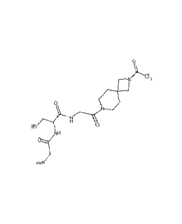 CNCC(=O)NC(CC(C)C)C(=O)NCC(=O)N1CCC2(CC1)CN(C(=O)C(F)(F)F)C2